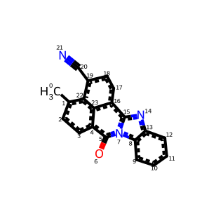 Cc1ccc2c(=O)n3c4ccccc4nc3c3ccc(C#N)c1c23